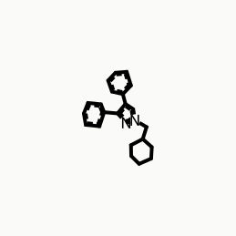 c1ccc(-c2cn(CC3CCCCC3)nc2-c2ccccc2)cc1